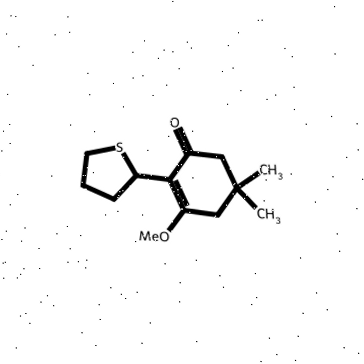 COC1=C(C2CCCS2)C(=O)CC(C)(C)C1